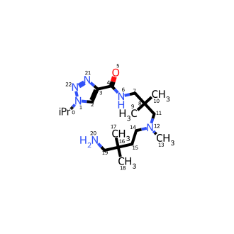 CC(C)n1cc(C(=O)NCC(C)(C)CN(C)CCC(C)(C)CN)nn1